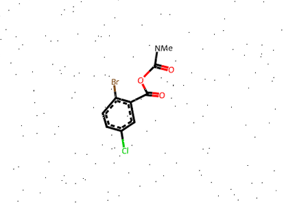 CNC(=O)OC(=O)c1cc(Cl)ccc1Br